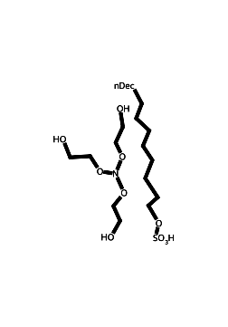 CCCCCCCCCCCCCCCCCCOS(=O)(=O)O.OCCON(OCCO)OCCO